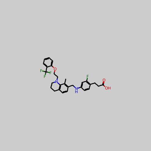 Cc1c(CNc2ccc(CCC(=O)O)c(F)c2)ccc2c1N(CCOc1ccccc1C(F)(F)F)CCC2